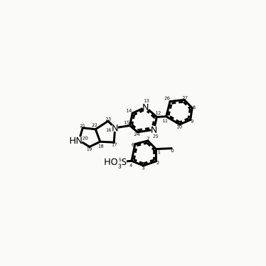 Cc1ccc(S(=O)(=O)O)cc1.c1ccc(-c2ncc(N3CC4CNCC4C3)cn2)cc1